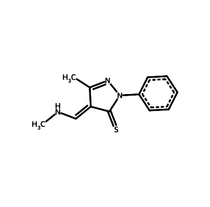 CNC=C1C(=S)N(c2ccccc2)N=C1C